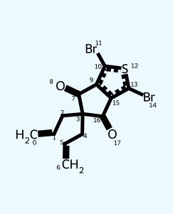 C=CCC1(CC=C)C(=O)c2c(Br)sc(Br)c2C1=O